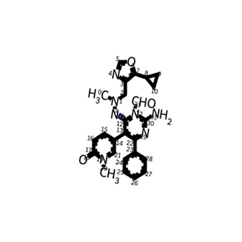 CN(Cc1ncoc1C1CC1)/N=c1/c(-c2ccc(=O)n(C)c2)c(-c2ccccc2)nc(N)n1C=O